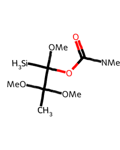 CNC(=O)OC([SiH3])(OC)C(C)(OC)OC